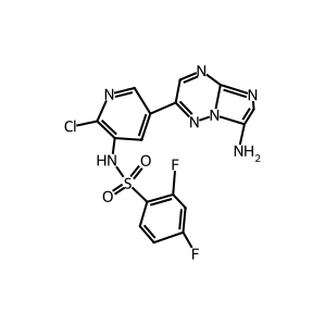 Nc1cnc2ncc(-c3cnc(Cl)c(NS(=O)(=O)c4ccc(F)cc4F)c3)nn12